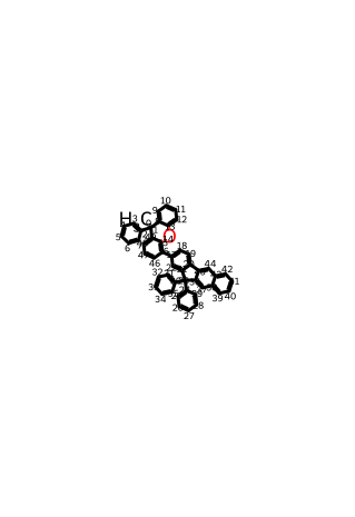 CC1(c2ccccc2)c2ccccc2Oc2c(-c3ccc4c(c3)C(c3ccccc3)(c3ccccc3)c3cc5ccccc5cc3-4)cccc21